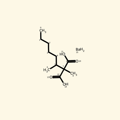 CCCCCC(C)C(C)(C(=O)O)C(=O)O.[BaH2]